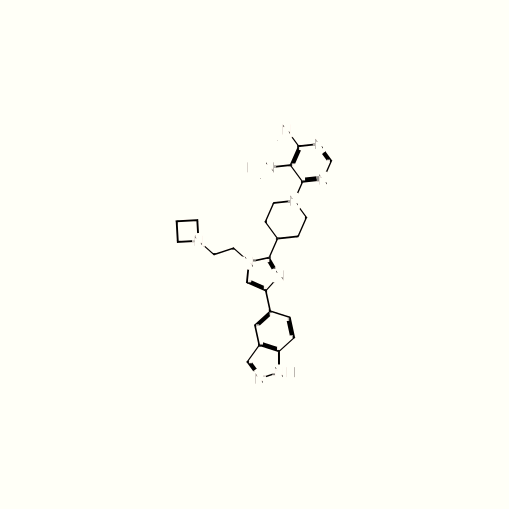 Nc1ncnc(N2CCC(c3nc(-c4ccc5[nH]ncc5c4)cn3CCN3CCC3)CC2)c1N